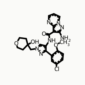 COc1ccc(Cl)cc1-c1nn(CC2(O)CCOCC2)cc1NC(=O)c1c(N)nn2cccnc12